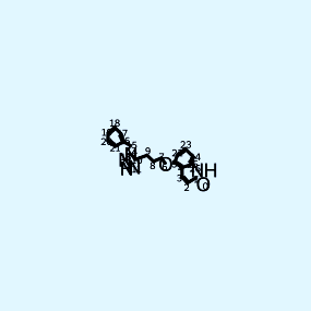 O=c1ccc2c(OCCCc3nnnn3Cc3ccccc3)cccc2[nH]1